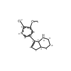 COc1cc(C2=CCC3CCCNC23)cnc1Cl